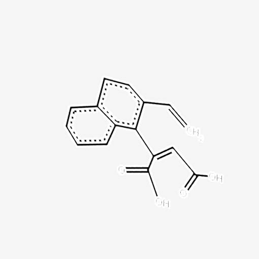 C=Cc1ccc2ccccc2c1/C(=C/C(=O)O)C(=O)O